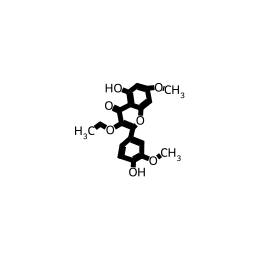 CCOc1c(-c2ccc(O)c(OC)c2)oc2cc(OC)cc(O)c2c1=O